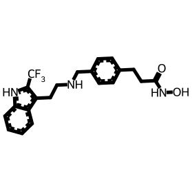 O=C(CCc1ccc(CNCCc2c(C(F)(F)F)[nH]c3ccccc23)cc1)NO